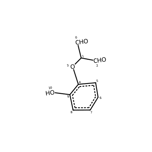 O=CC(C=O)Oc1ccccc1O